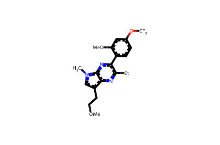 CCc1nc2c(CCOC)cn(C)c2nc1-c1ccc(OC(F)(F)F)cc1OC